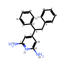 Nc1cc(C(Cc2ccccc2)c2ccccc2)cc(N)n1